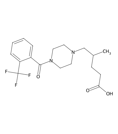 CC(CCC(=O)O)CN1CCN(C(=O)c2ccccc2C(F)(F)F)CC1